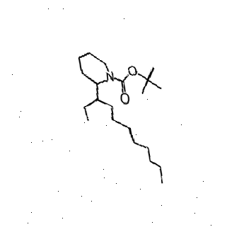 CCCCCCCCC(CC)C1CCCCN1C(=O)OC(C)(C)C